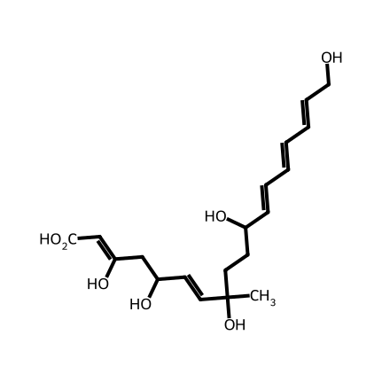 CC(O)(C=CC(O)CC(O)=CC(=O)O)CCC(O)C=CC=CC=CCO